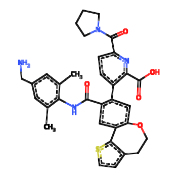 Cc1cc(CN)cc(C)c1NC(=O)c1cc2c(cc1-c1ccc(C(=O)N3CCCC3)nc1C(=O)O)OCCc1ccsc1-2